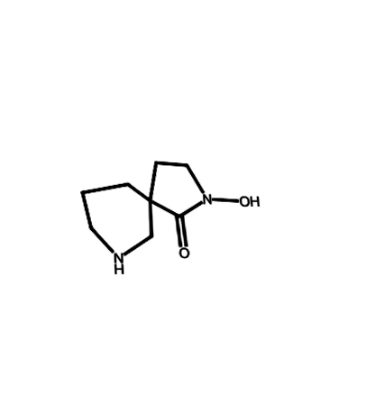 O=C1N(O)CCC12CCCNC2